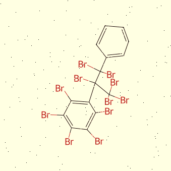 Brc1c(Br)c(Br)c(C(Br)(C(Br)(Br)Br)C(Br)(Br)c2ccccc2)c(Br)c1Br